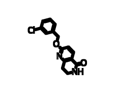 O=C1NCCc2nc(OCc3cccc(Cl)c3)ccc21